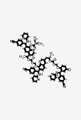 CC(Cc1cnc2c(OCOC(=O)OC(C)c3ccnc4c(OC(=O)N(C)C)c(C(Nc5ccccn5)c5ccc(C#N)cc5)ccc34)c(C(Nc3ccccn3)c3ccc(C#N)cc3)ccc2c1)OC(=O)OCOc1ccc(Cl)cc1C(Nc1ccccn1)c1ccc(C#N)cc1